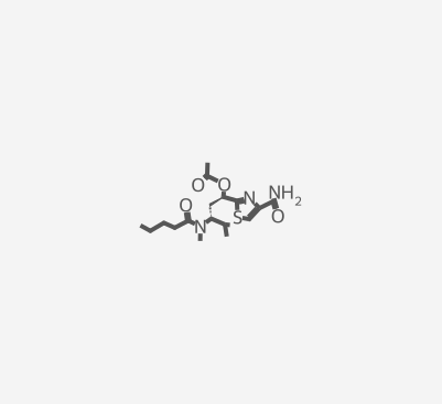 CCCCC(=O)N(C)[C@H](C[C@@H](OC(C)=O)c1nc(C(N)=O)cs1)C(C)C